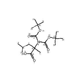 CC(C)CC(C)(C(=O)O)N(C(=O)OC(C)(C)C)C(=O)OC(C)(C)C